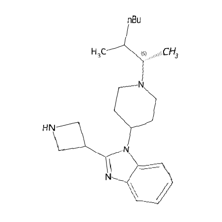 CCCCC(C)[C@H](C)N1CCC(n2c(C3CNC3)nc3ccccc32)CC1